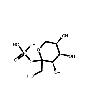 O=P(O)(O)OC1(CO)OC[C@@H](O)[C@@H](O)[C@H]1O